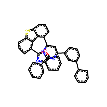 c1ccc(-c2cccc(-c3cc(-c4cccc5sc6cccc(-c7nc8ccccc8o7)c6c45)nc(-c4ccccc4)n3)c2)cc1